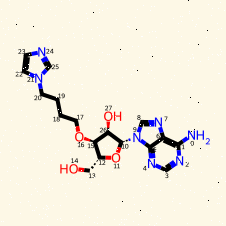 Nc1ncnc2c1ncn2[C@@H]1O[C@H](CO)[C@@H](OCCCCn2ccnc2)[C@H]1O